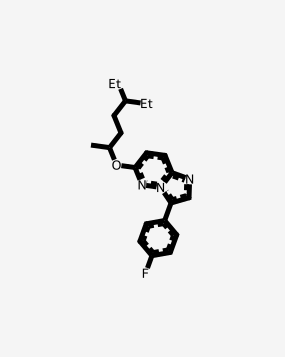 CC[C](CC)CCC(C)Oc1ccc2ncc(-c3ccc(F)cc3)n2n1